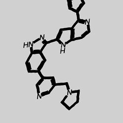 c1cc2[nH]c(-c3n[nH]c4ccc(-c5cncc(CN6CCCC6)c5)cc34)cc2c(-c2ccoc2)n1